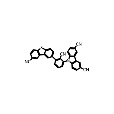 N#Cc1ccc2sc3ccc(-c4cccc(-n5c6ccc(C#N)cc6c6cc(C#N)ccc65)c4C#N)cc3c2c1